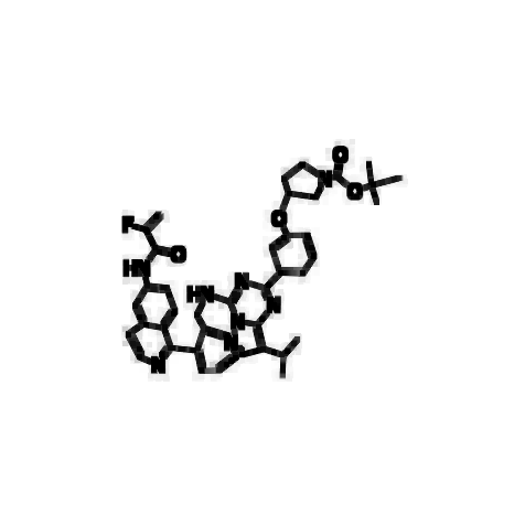 C=C(F)C(=O)Nc1ccc2c(-c3ccccc3CNc3nc(-c4cccc(OC5CCN(C(=O)OC(C)(C)C)C5)c4)nc4c(C(C)C)cnn34)nccc2c1